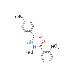 CCCCc1ccc(C(=O)NN(C(=O)c2ccccc2[N+](=O)[O-])C(C)(C)C)cc1